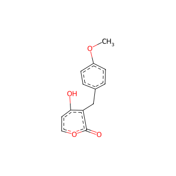 COc1ccc(Cc2c(O)ccoc2=O)cc1